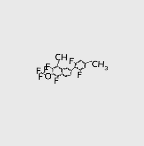 C#Cc1c(F)c(OC(F)(F)F)c(F)c2ccc(-c3c(F)cc(CC)cc3F)cc12